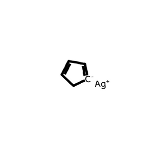 [Ag+].[C-]1=CC=CC1